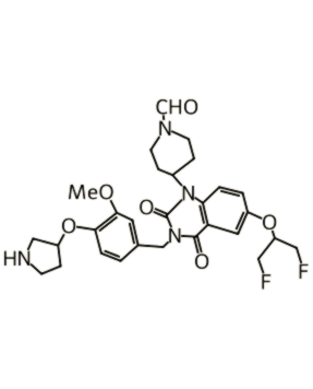 COc1cc(Cn2c(=O)c3cc(OC(CF)CF)ccc3n(C3CCN(C=O)CC3)c2=O)ccc1OC1CCNC1